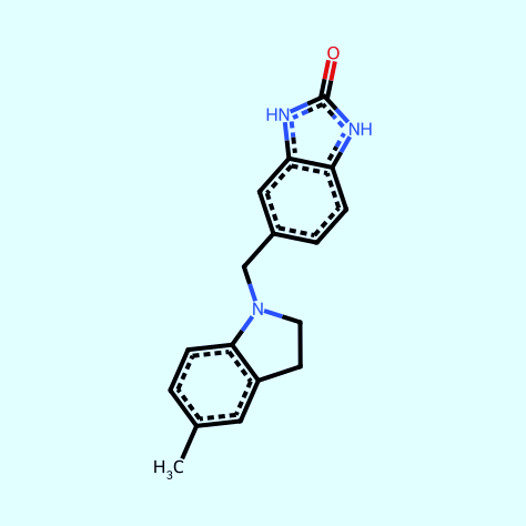 Cc1ccc2c(c1)CCN2Cc1ccc2[nH]c(=O)[nH]c2c1